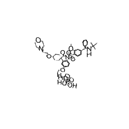 CCOc1ccc2c(c1)[C@]1(CC[C@@H](OCCN3CCOCC3)CC1)C(=O)N2S(=O)(=O)c1ccc(C(=O)NC(C)(C)C)cc1OC.O.O=P(O)(O)O